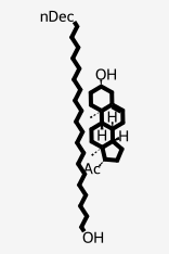 CC(=O)[C@H]1CC[C@H]2[C@@H]3CC=C4C[C@@H](O)CC[C@]4(C)[C@H]3CC[C@]12C.CCCCCCCCCCCCCCCCCCCCCCCCCCCCCCO